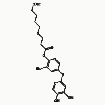 CCCCCCCCCCCCCCSCCC(=O)Oc1ccc(Sc2ccc(O)c(C(C)(C)C)c2)cc1C(C)(C)C